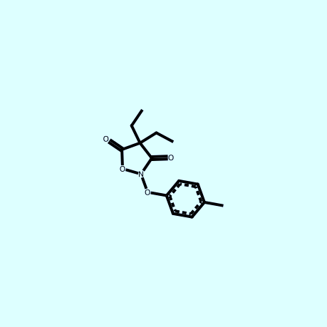 CCC1(CC)C(=O)ON(Oc2ccc(C)cc2)C1=O